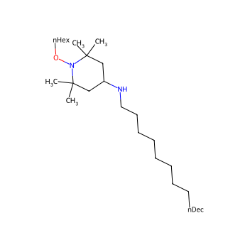 CCCCCCCCCCCCCCCCCCNC1CC(C)(C)N(OCCCCCC)C(C)(C)C1